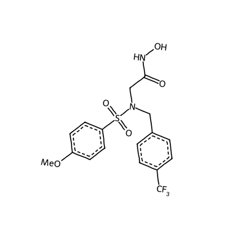 COc1ccc(S(=O)(=O)N(CC(=O)NO)Cc2ccc(C(F)(F)F)cc2)cc1